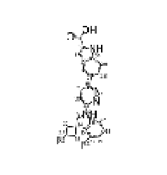 O=C(O)c1cc2cc(-c3ccc(NCC4(c5ncccc5F)CC(F)C4)nn3)ccc2[nH]1